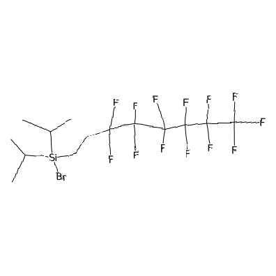 CC(C)[Si](Br)(CCC(F)(F)C(F)(F)C(F)(F)C(F)(F)C(F)(F)C(F)(F)F)C(C)C